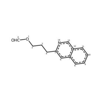 O=COCCCc1cc2ccccc2cn1